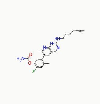 C#CCCCCNc1ncc2cc(-c3cc(OC(N)=O)c(F)cc3C)c(C)nc2n1